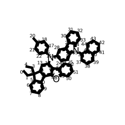 CCC1(CC)c2ccccc2-c2c1cc(N(c1ccc(C)cc1)c1ccc3c(c1)c1ccccc1n3-c1cccc3ccccc13)c1c2oc2ccccc21